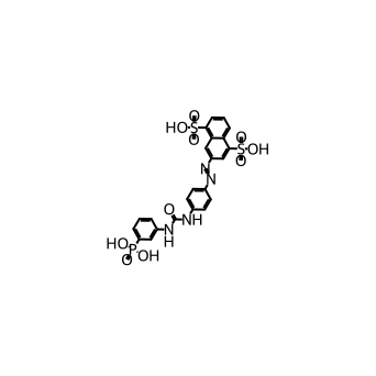 O=C(Nc1ccc(/N=N/c2cc(S(=O)(=O)O)c3cccc(S(=O)(=O)O)c3c2)cc1)Nc1cccc(P(=O)(O)O)c1